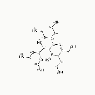 SCSC(SCS)C(S)C(C(S)C(SCS)SCS)C(S)C(SCS)SCS